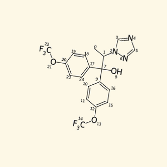 CC(n1cncn1)C(O)(c1ccc(OC(F)(F)F)cc1)c1ccc(OC(F)(F)F)cc1